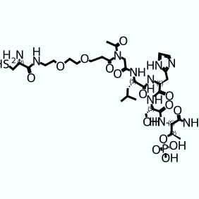 CC(=O)N(CC(=O)N[C@@H](CC(C)C)C(=O)N[C@@H](Cc1ncc[nH]1)C(=O)N[C@@H](CO)C(=O)N[C@H](C(N)=O)[C@@H](C)OP(=O)(O)O)C(=O)CCOCCOCCNC(=O)[C@@H](N)CS